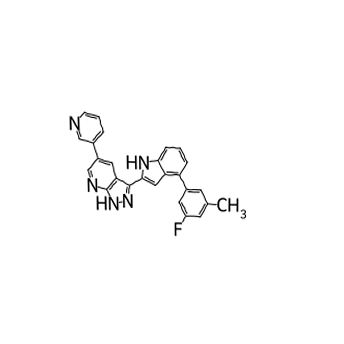 Cc1cc(F)cc(-c2cccc3[nH]c(-c4n[nH]c5ncc(-c6cccnc6)cc45)cc23)c1